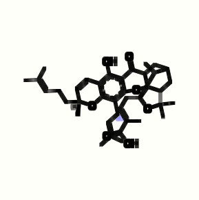 CC(C)=CCC[C@]1(C)C=Cc2c(O)c3c(c(CC=C(C)C)c2O1)OC12C(CC4CC1C(C)(C)OC2(C/C=C(\C)C(=O)O)C4C)C3=O